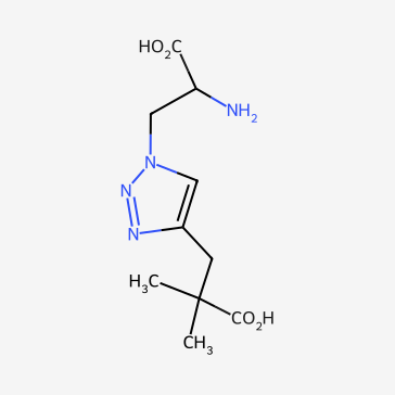 CC(C)(Cc1cn(CC(N)C(=O)O)nn1)C(=O)O